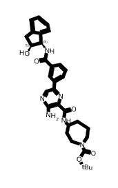 CC(C)(C)OC(=O)N1CCCC(NC(=O)c2nc(-c3cccc(C(=O)N[C@@H]4c5ccccc5C[C@@H]4O)c3)cnc2N)CC1